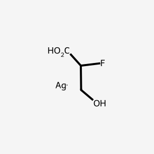 O=C(O)C(F)CO.[Ag]